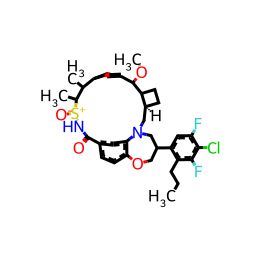 CCCc1c(C2COc3ccc4cc3N(C2)C[C@@H]2CCC2C(OC)C2=CC(C2)C(C)C(C)[S+]([O-])NC4=O)cc(F)c(Cl)c1F